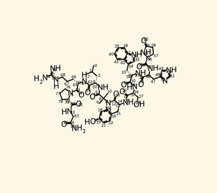 CC(C)C[C@H](NC(=O)C(C)(C)NC(=O)[C@H](Cc1ccc(O)cc1)NC(=O)[C@H](CO)NC(=O)[C@H](Cc1c[nH]c2ccccc12)NC(=O)[C@H](Cc1c[nH]cn1)NC(=O)[C@@H]1CCC(=O)N1)C(=O)N[C@@H](CCCNC(=N)N)C(=O)N1CCC[C@H]1C(=O)NCC(N)=O